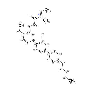 C/C=C(\C)C(=O)OCc1cc(-c2ccc(-c3ccc(CCCCC)cc3)cc2F)ccc1CO